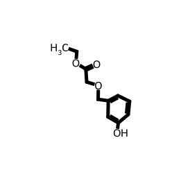 CCOC(=O)COCc1cccc(O)c1